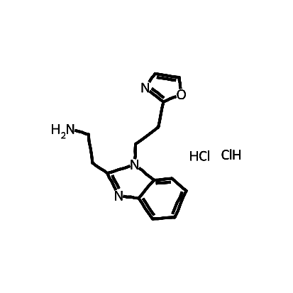 Cl.Cl.NCCc1nc2ccccc2n1CCc1ncco1